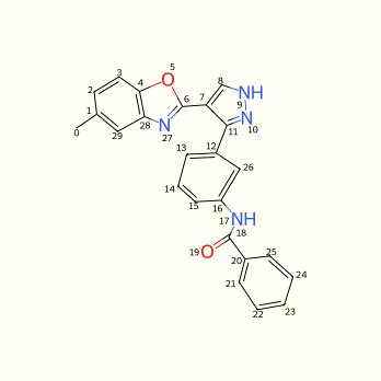 Cc1ccc2oc(-c3c[nH]nc3-c3cccc(NC(=O)c4ccccc4)c3)nc2c1